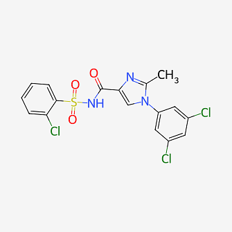 Cc1nc(C(=O)NS(=O)(=O)c2ccccc2Cl)cn1-c1cc(Cl)cc(Cl)c1